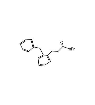 CCCC(=O)CCc1ccccc1Cc1ccccc1